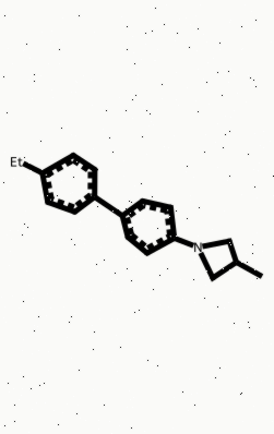 CCc1ccc(-c2ccc(N3CC(C)C3)cc2)cc1